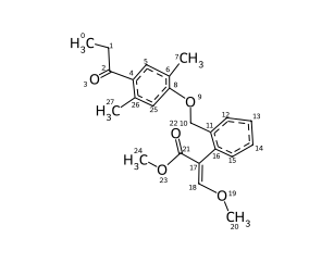 CCC(=O)c1cc(C)c(OCc2ccccc2/C(=C\OC)C(=O)OC)cc1C